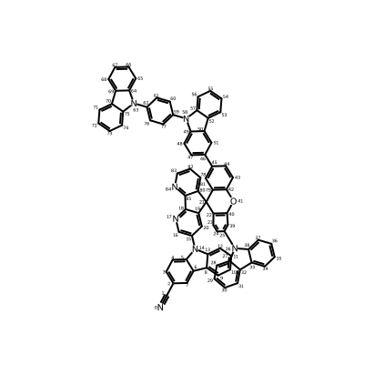 N#Cc1ccc2c(c1)c1ccccc1n2-c1cnc2c(c1)C1(c3ccc(-n4c5ccccc5c5ccccc54)cc3Oc3ccc(-c4ccc5c(c4)c4ccccc4n5-c4ccc(-n5c6ccccc6c6ccccc65)cc4)cc31)c1cccnc1-2